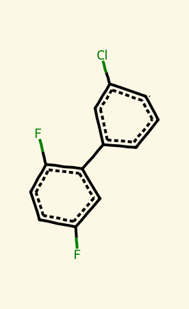 Fc1ccc(F)c(-c2cc[c]c(Cl)c2)c1